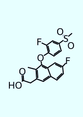 Cc1c(CC(=O)O)cc2ccc(F)cc2c1Oc1ccc(S(C)(=O)=O)cc1F